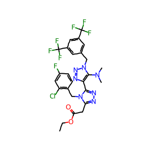 CCOC(=O)Cc1nnc(-c2nnn(Cc3cc(C(F)(F)F)cc(C(F)(F)F)c3)c2N(C)C)n1Cc1ccc(F)cc1Cl